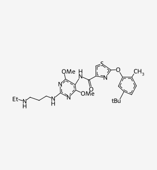 CCNCCCNc1nc(OC)c(NC(=O)c2csc(Oc3cc(C(C)(C)C)ccc3C)n2)c(OC)n1